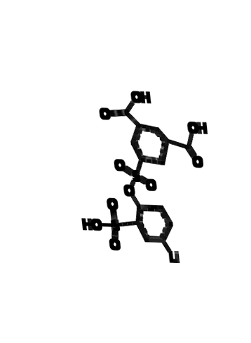 [Li][c]1ccc(OS(=O)(=O)c2cc(C(=O)O)cc(C(=O)O)c2)c(S(=O)(=O)O)c1